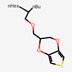 CCCCCCC(CCCC)COCC1COc2cscc2O1